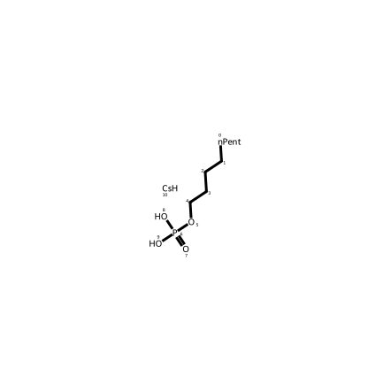 CCCCCCCCCOP(=O)(O)O.[CsH]